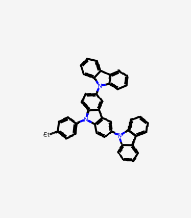 CCc1ccc(-n2c3ccc(-n4c5ccccc5c5ccccc54)cc3c3cc(-n4c5ccccc5c5ccccc54)ccc32)cc1